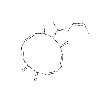 C=c1ccccc(=C)n(/C(C)=C/C=C\C)c(=C)ccccc1=C